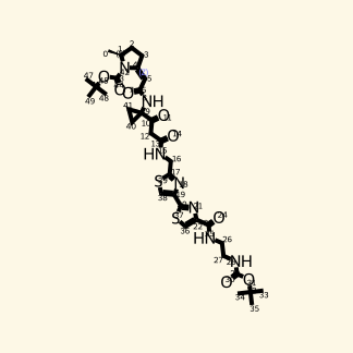 C[C@H]1CC/C(=C/C(=O)NC2(C(=O)CC(=O)NCc3nc(-c4nc(C(=O)NCCNC(=O)OC(C)(C)C)cs4)cs3)CC2)N1C(=O)OC(C)(C)C